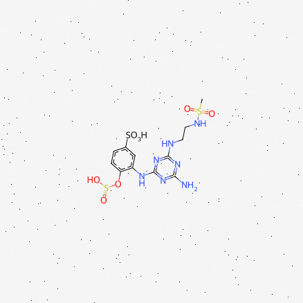 CS(=O)(=O)NCCNc1nc(N)nc(Nc2cc(S(=O)(=O)O)ccc2OS(=O)O)n1